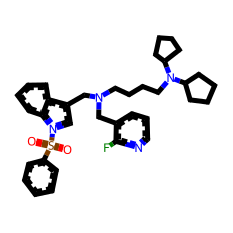 O=S(=O)(c1ccccc1)n1cc(CN(CCCCN(C2CCCC2)C2CCCC2)Cc2cccnc2F)c2ccccc21